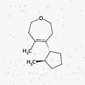 CC1=C([C@@H]2CCC[C@H]2C)CCOCC1